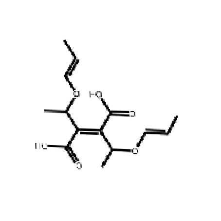 CC=COC(C)C(C(=O)O)=C(C(=O)O)C(C)OC=CC